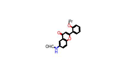 CC(C)Oc1ccccc1-c1cc(=O)c2cc(NC=O)ccc2o1